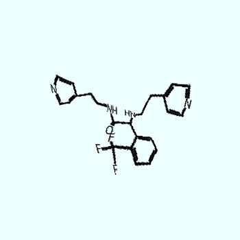 O=C(NCCc1ccncc1)C(NCCc1ccncc1)c1ccccc1C(F)(F)F